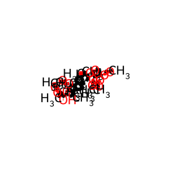 COCO[C@@H]1[C@@H](OCOC)[C@H](O[C@H]2CC[C@]34C[C@]35CC[C@]3(C)C6=C(O[C@@H]([C@H](O)C(C)(C)OCOC)C[C@H]6C)[C@H](OCOC)[C@@]3(C)[C@@H]5CC[C@H]4C2(C)C)OC[C@H]1OCOC